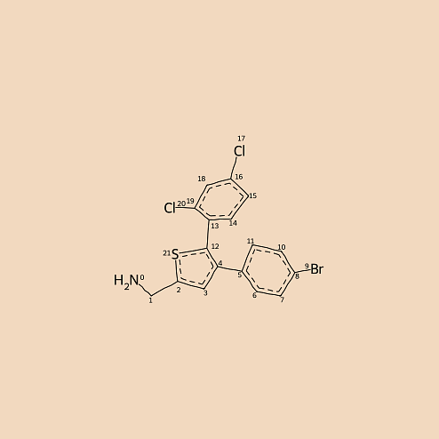 NCc1cc(-c2ccc(Br)cc2)c(-c2ccc(Cl)cc2Cl)s1